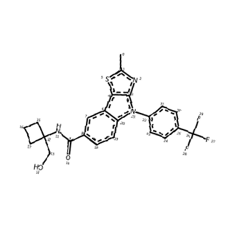 Cc1nc2c(s1)c1cc(C(=O)NC3(CO)CCC3)ccc1n2-c1ccc(C(F)(F)F)cc1